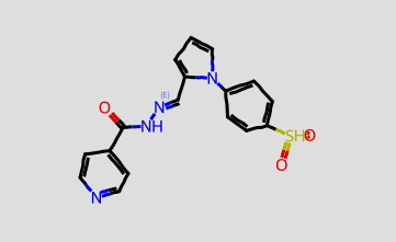 O=C(N/N=C/c1cccn1-c1ccc([SH](=O)=O)cc1)c1ccncc1